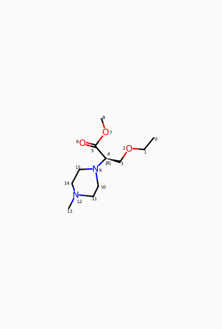 CCOC[C@H](C(=O)OC)N1CCN(C)CC1